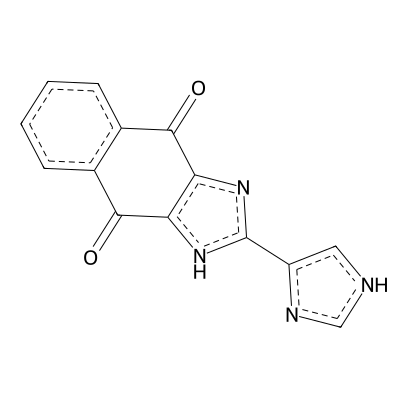 O=C1c2ccccc2C(=O)c2[nH]c(-c3c[nH]cn3)nc21